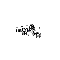 Cc1cc(/N=N/c2nc(C(=O)Sc3ccc(F)cc3)nc(N(C)C)n2)cc(C)c1O